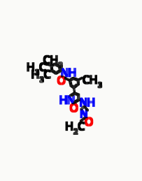 C=CC(=O)N1CC(Nc2cc(-c3cc(CC)cc(C(=O)Nc4ccc(C(C)C)c(C)c4)c3)c[nH]c2=O)C1